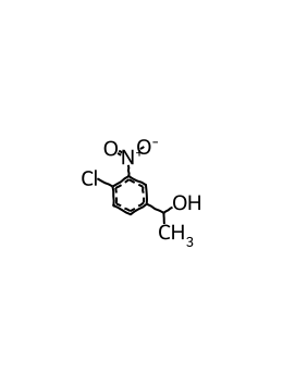 CC(O)c1ccc(Cl)c([N+](=O)[O-])c1